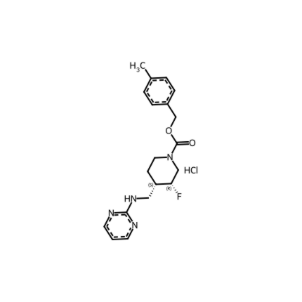 Cc1ccc(COC(=O)N2CC[C@@H](CNc3ncccn3)[C@@H](F)C2)cc1.Cl